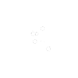 Cc1cccc(C(CC(=O)NCCc2ccncc2)c2cn(Cc3ccccc3)c3ncccc23)c1.Cl